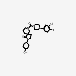 O=C(N1CCN(c2ccc(Cl)c(Cl)c2)CC1)N1CCCC2(CCN(C3CCC(O)CC3)C2=O)C1